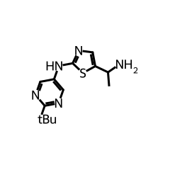 CC(N)c1cnc(Nc2cnc(C(C)(C)C)nc2)s1